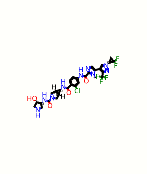 Cn1c(-c2cn([C@H]3CC3(F)F)nc2C(F)(F)F)cnc1C(=O)Nc1ccc(C(=O)N[C@H]2[C@@H]3CN(C(=O)N[C@H]4CNC[C@@H]4O)C[C@@H]32)c(Cl)c1